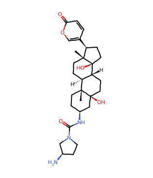 C[C@]12CC[C@H](NC(=O)N3CC[C@@H](N)C3)C[C@@]1(O)CC[C@@H]1[C@@H]2CC[C@]2(C)[C@@H](c3ccc(=O)oc3)CC[C@]12O